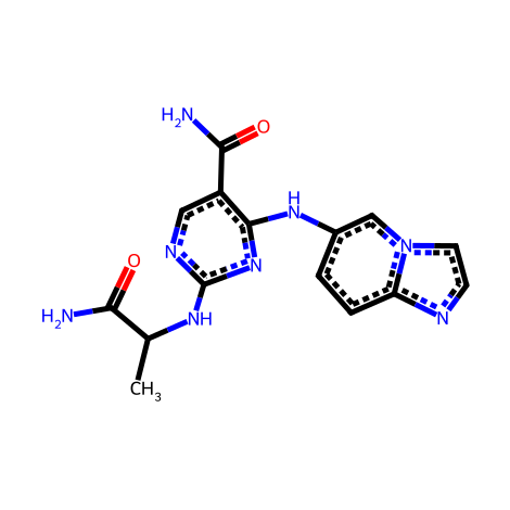 CC(Nc1ncc(C(N)=O)c(Nc2ccc3nccn3c2)n1)C(N)=O